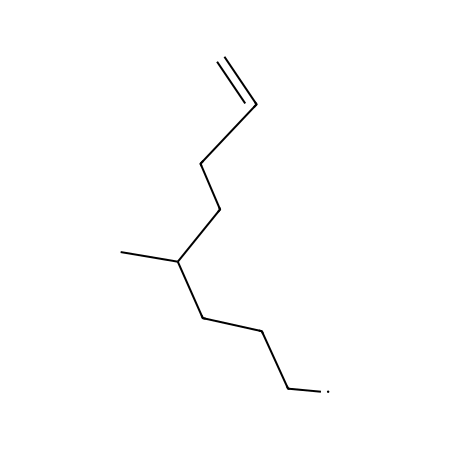 [CH2]CCCC(C)CCC=C